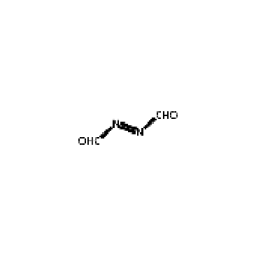 O=CN=NC=O